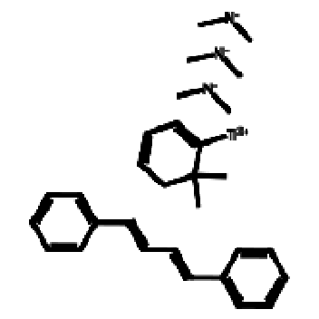 C(C=Cc1ccccc1)=Cc1ccccc1.CC1(C)CC=CC=[C]1[Ti+3].C[N-]C.C[N-]C.C[N-]C